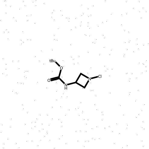 CC(C)(C)OC(=O)NC1CN(Cl)C1